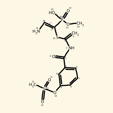 C=C(NC(=O)c1cccc(OS(C)(=O)=O)c1)S/C(=C\N)P(=O)(O)OC